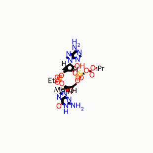 CCO[P@@]1(=O)OCC23C[C@@H]2[C@@H](n2cnc4c(N)ncnc42)[C@H](O)[C@@H]3O[P@](=O)(SCOC(=O)OC(C)C)OC[C@H]2O[C@@H](n3cnc4c(=O)[nH]c(N)nc43)[C@H](O1)[C@@H]2OC